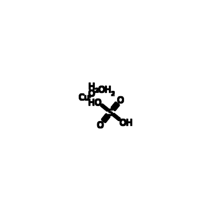 O.O.O=S(=O)(O)O.[Cu]